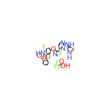 O=C(O)C(F)(F)F.O=S(=O)(Cc1ccccc1Cl)Nc1ccc(Oc2ncsc2-c2ccnc(N[C@H]3CCCNC3)n2)cc1F